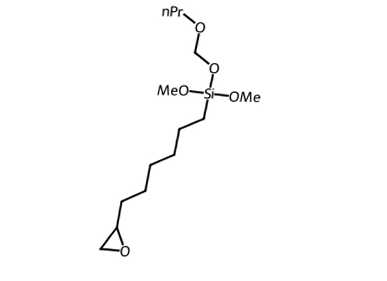 CCCOCO[Si](CCCCCCC1CO1)(OC)OC